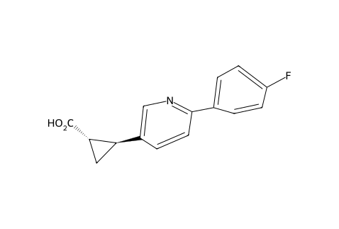 O=C(O)[C@H]1C[C@@H]1c1ccc(-c2ccc(F)cc2)nc1